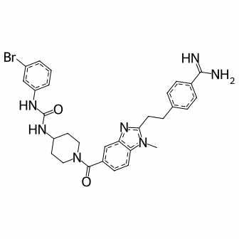 Cn1c(CCc2ccc(C(=N)N)cc2)nc2cc(C(=O)N3CCC(NC(=O)Nc4cccc(Br)c4)CC3)ccc21